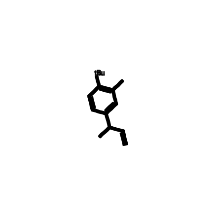 C=C[C](C)c1ccc(C(C)(C)C)c(C)c1